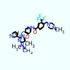 C=NN(C)c1nc(-c2cccnc2)nc(Oc2cc(NC(=O)c3ccc(CN4CCN(C)CC4)c(C(F)(F)F)c3)ccc2C)c1C